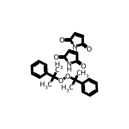 CC(C)(OOC(C)(C)c1ccccc1)c1ccccc1.O=C1C=CC(=O)N1.O=C1C=CC(=O)N1